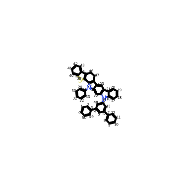 c1ccc(-c2cc(-c3ccccc3)cc(-n3c4ccccc4c4cc5c6c(n(-c7ccccc7)c5cc43)-c3sc4ccccc4c3CC6)c2)cc1